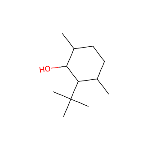 CC1CCC(C)C(C(C)(C)C)C1O